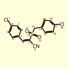 N#C/C(=C/c1ccc(Cl)cc1)S(=O)(=O)Cc1ccc(Cl)cc1